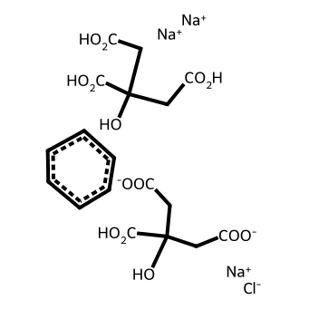 O=C(O)CC(O)(CC(=O)O)C(=O)O.O=C([O-])CC(O)(CC(=O)[O-])C(=O)O.[Cl-].[Na+].[Na+].[Na+].c1ccccc1